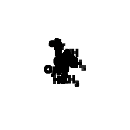 CC(C)c1ccccc1[C@@H]1CCCN1C1CC2(CCN(c3ccc(C(=O)NS(=O)(=O)c4cc5c(c([N+](=O)[O-])c4)N[C@@H]([C@H]4CC[C@](C)(O)CC4)CO5)c(Oc4cc5cc[nH]c5nc4OC[C@@H]4CCCN4S(C)(=O)=O)c3)CC2)C1